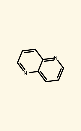 C1=Cc2ncccc2[N+]=C1